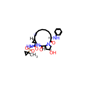 CC1(S(=O)(=O)NC(=O)[C@@]23C[C@H]2/C=C\CCCCC[C@H](Nc2ccccc2)C(=O)N2C[C@H](O)C[C@H]2C(=O)N3)CC1